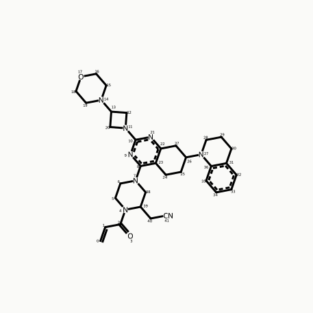 C=CC(=O)N1CCN(c2nc(N3CC(N4CCOCC4)C3)nc3c2CCC(N2CCCc4ccccc42)C3)CC1CC#N